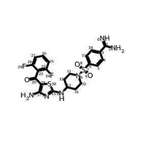 N=C(N)c1ccc(S(=O)(=O)N2CCC(Nc3nc(N)c(C(=O)c4c(F)cccc4F)s3)CC2)cc1